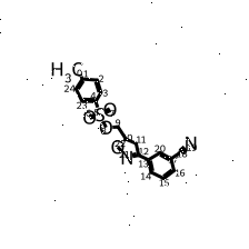 Cc1ccc(S(=O)(=O)OCC2CC(c3cccc(C#N)c3)=NO2)cc1